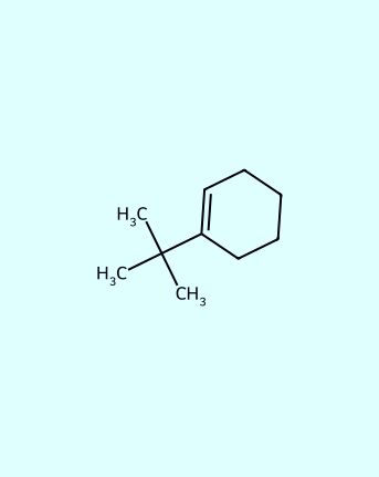 CC(C)(C)C1=CCCCC1